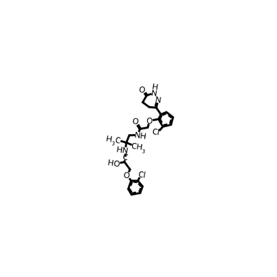 CC(C)(CNC(=O)COc1c(Cl)cccc1C1=NNC(=O)CC1)NCC(O)COc1ccccc1Cl